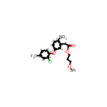 CC(C)OCCCOC(=O)Cc1cc(Oc2ccc(C(F)(F)F)cc2Cl)ccc1[N+](=O)[O-]